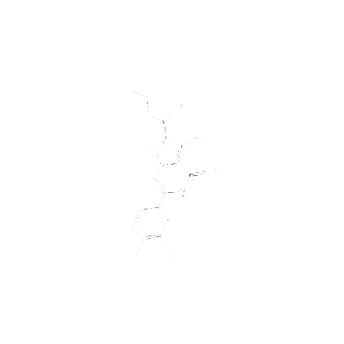 CCOC(=O)c1nn2cc(-c3ccc(C)c(Cl)c3)[nH]c(=O)c2c1C